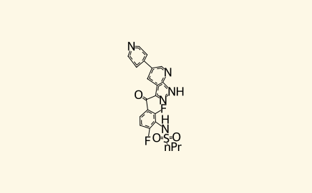 CCCS(=O)(=O)Nc1c(F)ccc(C(=O)c2n[nH]c3ncc(-c4ccncc4)cc23)c1F